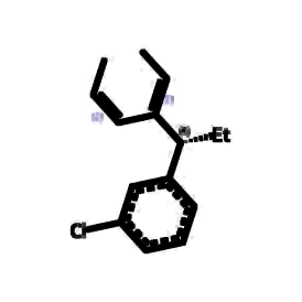 C/C=C\C(=C/C)[C@H](CC)c1cccc(Cl)c1